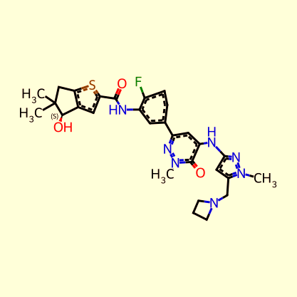 Cn1nc(Nc2cc(-c3ccc(F)c(NC(=O)c4cc5c(s4)CC(C)(C)[C@@H]5O)c3)nn(C)c2=O)cc1CN1CCC1